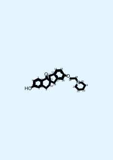 O=C1c2ccc(O)cc2CCC12Cc1ccc(OCCN3CCCCC3)cc1C2